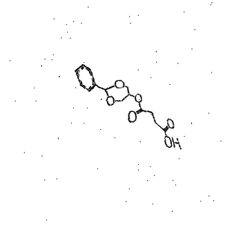 O=C(O)CCC(=O)OC1COC(c2ccccc2)OC1